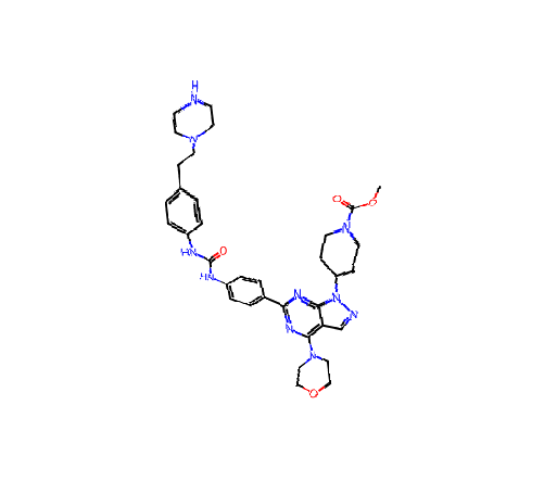 COC(=O)N1CCC(n2ncc3c(N4CCOCC4)nc(-c4ccc(NC(=O)Nc5ccc(CCN6CCNCC6)cc5)cc4)nc32)CC1